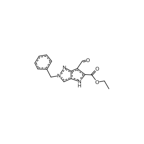 CCOC(=O)c1[nH]c2cn(Cc3ccccc3)nc2c1C=O